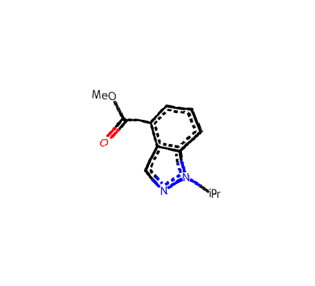 COC(=O)c1cccc2c1cnn2C(C)C